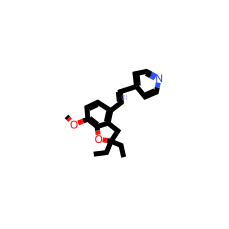 CCC1(CC)Cc2c(/C=C/c3ccncc3)ccc(OC)c2O1